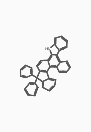 c1ccc(C2(c3ccccc3)c3ccccc3-c3c2ccc2c4[nH]c5ccccc5c4c4ccccc4c32)cc1